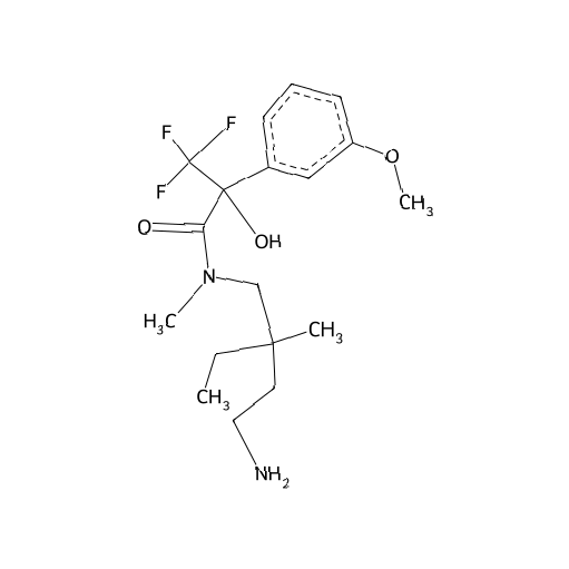 CCC(C)(CCN)CN(C)C(=O)C(O)(c1cccc(OC)c1)C(F)(F)F